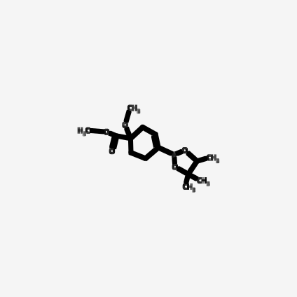 COC(=O)C1(OC)CC=C(B2OC(C)C(C)(C)O2)CC1